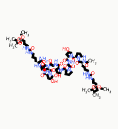 CCC[Si](CCCNC(=O)NCCCC[C@H](NC(C)=O)C(=O)N1CCC[C@H]1C(=O)N1CC(O)C[C@H]1C(=O)NCC(=O)N1CCC[C@H]1C(=O)N1CC(O)C[C@H]1C(=O)NCC(=O)N1CCC[C@H]1C(=O)N1CC(O)C[C@H]1C(=O)NCC(=O)N[C@@H](CCCCNC(=O)NCCC[Si](OCC)(OCC)OCC)C(N)=O)(OCC)OCC